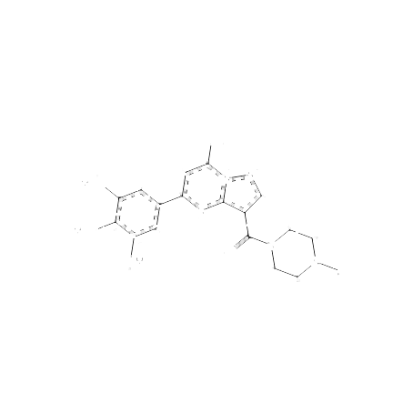 COc1cc(-c2cc(C(F)(F)F)n3ncc(C(=O)N4CCN(C)CC4)c3n2)cc(OC)c1OC